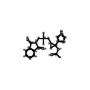 CC(=O)OC1(c2c[nH]cn2)CC1CC(C)(C)CN1C(=O)c2ccccc2C1=O